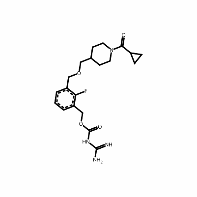 N=C(N)NC(=O)OCc1cccc(COCC2CCN(C(=O)C3CC3)CC2)c1F